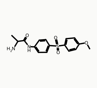 COc1ccc(S(=O)(=O)c2ccc(NC(=O)C(C)N)cc2)cc1